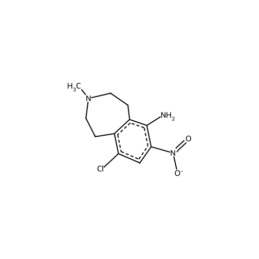 CN1CCc2c(Cl)cc([N+](=O)[O-])c(N)c2CC1